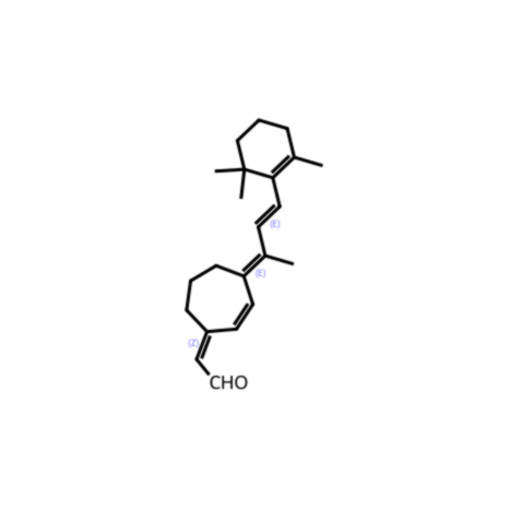 CC1=C(/C=C/C(C)=C2C=C/C(=C\C=O)CCC/2)C(C)(C)CCC1